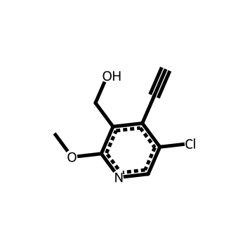 C#Cc1c(Cl)cnc(OC)c1CO